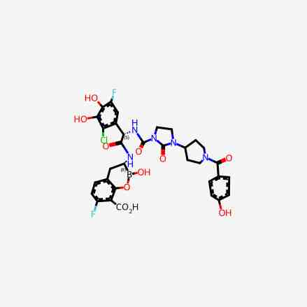 O=C(O)c1c(F)ccc2c1OB(O)[C@@H](NC(=O)[C@@H](NC(=O)N1CCN(C3CCN(C(=O)c4ccc(O)cc4)CC3)C1=O)c1cc(F)c(O)c(O)c1Cl)C2